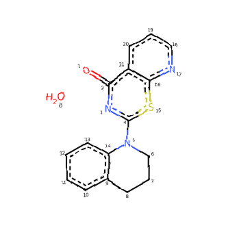 O.O=c1nc(N2CCCc3ccccc32)sc2ncccc12